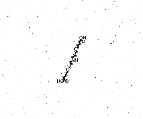 O=C(O)CCCCOCOCCNCCOCOCCCCC(=O)O